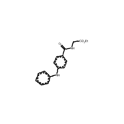 CCOC(=O)CNC(=O)c1ccc(Nc2ccccc2)cc1